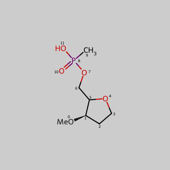 CO[C@@H]1CCOC1COP(C)(=O)O